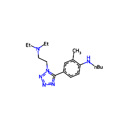 CCCCNc1ccc(-c2nnnn2CCN(CC)CC)cc1C